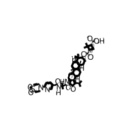 CC(C)C1=C2[C@H]3CC[C@@H]4[C@@]5(C)CC[C@H](OC(=O)[C@H]6C[C@@H](C(=O)O)C6(C)C)C(C)(C)[C@@H]5CC[C@@]4(C)[C@]3(C)CC[C@@]2(NC(=O)C(C)(C)NC(=O)c2ccc(N3CCS(=O)(=O)CC3)nc2)CC1=O